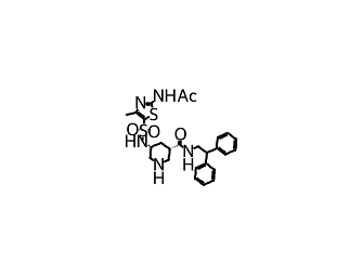 CC(=O)Nc1nc(C)c(S(=O)(=O)N[C@H]2CNC[C@@H](C(=O)NCC(c3ccccc3)c3ccccc3)C2)s1